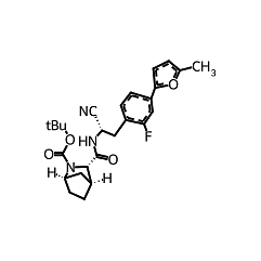 Cc1ccc(-c2ccc(C[C@@H](C#N)NC(=O)[C@@H]3[C@H]4CC[C@H](C4)N3C(=O)OC(C)(C)C)c(F)c2)o1